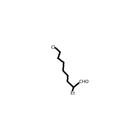 CCC(C=O)CCCCCCCl